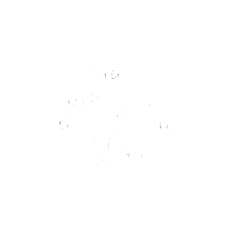 CCCCC(CC)COP(=S)([S-])OCC(C)C.CCCCC(CC)COP(=S)([S-])OCC(C)C.[Zn+2]